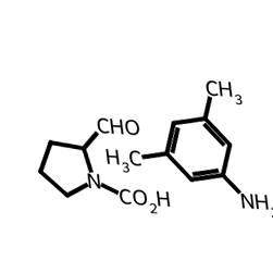 Cc1cc(C)cc(N)c1.O=CC1CCCN1C(=O)O